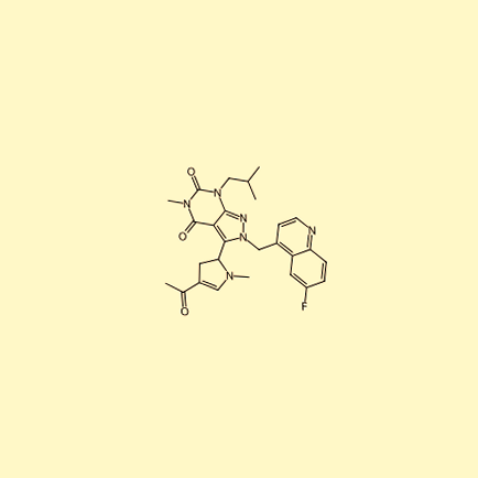 CC(=O)C1=CN(C)C(c2c3c(=O)n(C)c(=O)n(CC(C)C)c3nn2Cc2ccnc3ccc(F)cc23)C1